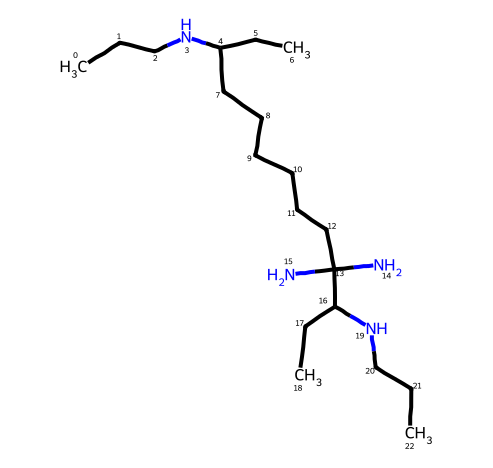 CCCNC(CC)CCCCCCC(N)(N)C(CC)NCCC